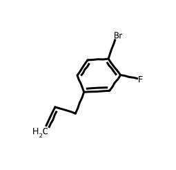 C=CCc1ccc(Br)c(F)c1